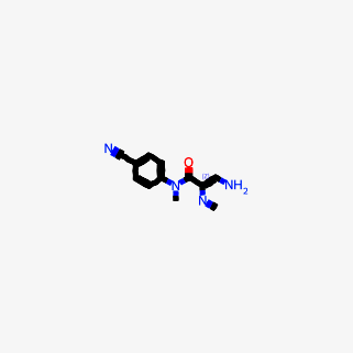 C=N/C(=C\N)C(=O)N(C)c1ccc(C#N)cc1